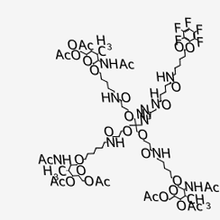 CC(=O)NC1[C@H](OCCCCCCNC(=O)CCOCC(COCCC(=O)NCCCCCO[C@@H]2OC(COC(C)=O)[C@@H](OC(C)=O)[C@H](C)C2NC(C)=O)(COCCC(=O)NCCCCCO[C@@H]2OC(COC(C)=O)[C@@H](OC(C)=O)[C@H](C)C2NC(C)=O)Cn2cc(CNC(=O)CCCC(=O)NCCCCCC(=O)Oc3c(F)c(F)c(F)c(F)c3F)nn2)OC(COC(C)=O)[C@@H](OC(C)=O)[C@@H]1C